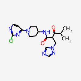 CC(C)C(=O)C(Cn1cncn1)C(=O)NC1CCN(c2ccnc(Cl)n2)CC1